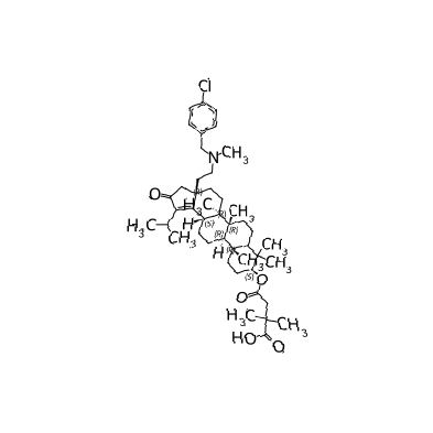 CC(C)C1=C2[C@H]3CC[C@@H]4[C@@]5(C)CC[C@H](OC(=O)CC(C)(C)C(=O)O)C(C)(C)C5CC[C@@]4(C)[C@]3(C)CC[C@@]2(CCN(C)Cc2ccc(Cl)cc2)CC1=O